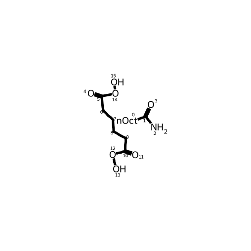 CCCCCCCCC(N)=O.O=C(CCCCC(=O)OO)OO